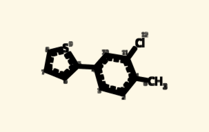 Cc1ccc(-c2cc[c]s2)cc1Cl